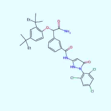 CCC(C)(C)c1ccc(OC(C(N)=O)c2cccc(C(=O)Nc3cc(=O)n(-c4c(Cl)cc(Cl)cc4Cl)[nH]3)c2)c(C(C)(C)CC)c1